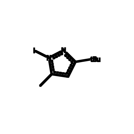 Cc1cc(C(C)(C)C)nn1I